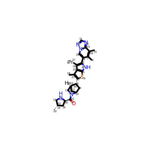 Cc1c(-c2[nH]c3sc([C@@H]4CC5C[C@H]4CN5C(=O)[C@H]4C[C@H](C)CN4)c(C)c3c2C(C)C)cn2ncnc2c1C